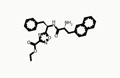 CCOC(=O)c1noc([C@@H](Cc2ccccc2)NC(=O)[C@H](N)Cc2ccc3ccccc3c2)n1